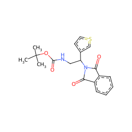 CC(C)(C)OC(=O)NCC(c1ccsc1)N1C(=O)c2ccccc2C1=O